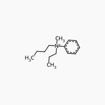 CCCC[N+](C)(CCC)c1ccccc1